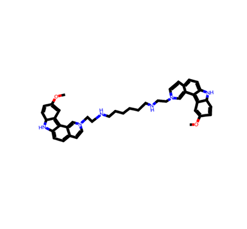 COC1=CC2=c3c(ccc4c3=CN(CCNCCCCCCNCCN3C=Cc5ccc6c(c5=C3)=C3C=C(OC)C=CC3N6)C=C4)NC2C=C1